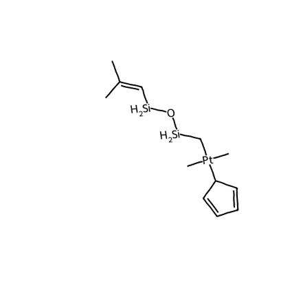 CC(C)=C[SiH2]O[SiH2][CH2][Pt]([CH3])([CH3])[CH]1C=CC=C1